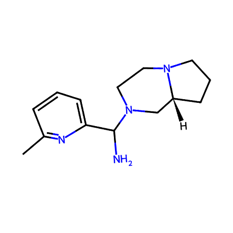 Cc1cccc(C(N)N2CCN3CCC[C@@H]3C2)n1